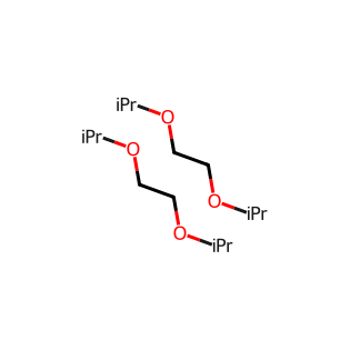 CC(C)OCCOC(C)C.CC(C)OCCOC(C)C